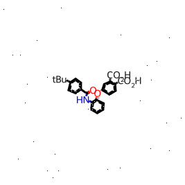 CC(C)(C)c1ccc(C(=O)Nc2ccccc2Oc2ccc(C(=O)O)c(C(=O)O)c2)cc1